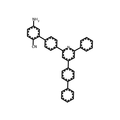 N#Cc1ccc(N)cc1-c1ccc(-c2cc(-c3ccc(-c4ccccc4)cc3)cc(-c3ccccc3)n2)cc1